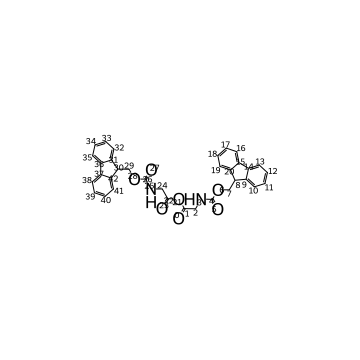 O=C(CNC(=O)OCC1c2ccccc2-c2ccccc21)OC(=O)CNC(=O)OCC1c2ccccc2-c2ccccc21